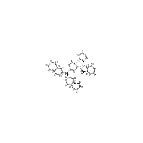 c1ccc(-c2c(-c3cccc(N(c4ccc5ccccc5c4)c4ccc5ccccc5c4)c3)oc3ccccc23)cc1